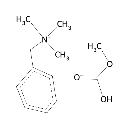 COC(=O)O.C[N+](C)(C)Cc1ccccc1